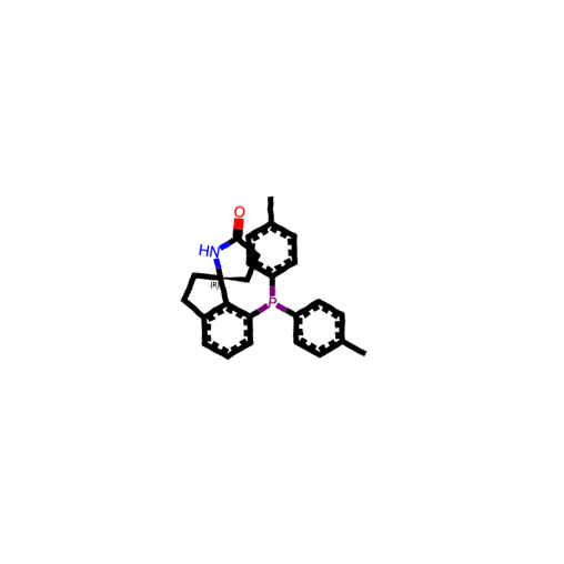 Cc1ccc(P(c2ccc(C)cc2)c2cccc3c2[C@]2(CCC(=O)N2)CC3)cc1